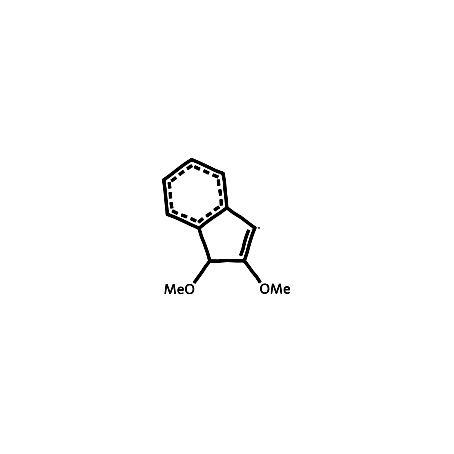 COC1=[C]c2ccccc2C1OC